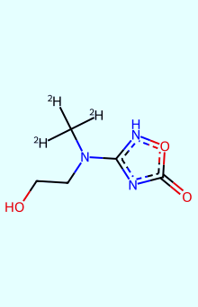 [2H]C([2H])([2H])N(CCO)c1nc(=O)o[nH]1